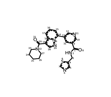 O=C(NCc1cncs1)c1cncc(-c2cccc3c(C(=O)N4CCCCC4)cnn23)c1